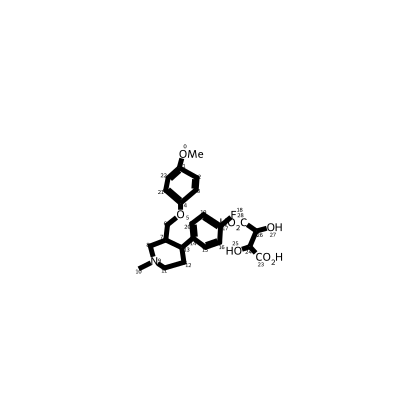 COc1ccc(OCC2CN(C)CCC2c2ccc(F)cc2)cc1.O=C(O)C(O)C(O)C(=O)O